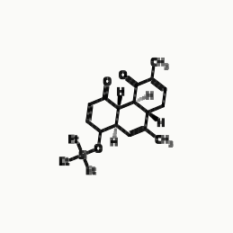 CC[Si](CC)(CC)OC1C=CC(=O)[C@@H]2[C@H]3C(=O)C(C)=CC[C@@H]3C(C)=C[C@@H]12